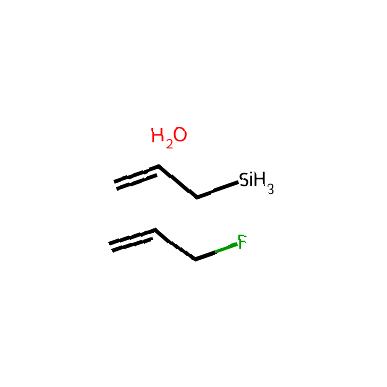 C=CCF.C=CC[SiH3].O